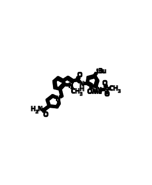 COc1c(NC(=O)c2cc3cccc(CN4CCC(C(N)=O)CC4)c3n2C)cc(C(C)(C)C)cc1NS(C)(=O)=O